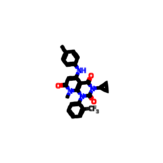 Cc1ccc(Nc2cc(=O)n(C)c3c2c(=O)n(C2CC2)c(=O)n3-c2ccccc2C(F)(F)F)cc1